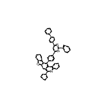 c1ccc(-c2ccc(-c3cc(-c4ccc(-c5c6c(cc7c(-c8ccccc8)nc8ccccc8c57)oc5ccccc56)cc4)nc(-c4ccccc4)n3)cc2)cc1